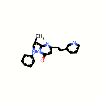 Cc1cn(-c2ccccc2)n2c(=O)cc(/C=C/c3cccnc3)nc12